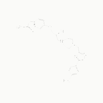 CCCc1nc2cc(OC[C@@H](O)CN3CCN(Cc4noc(-c5ccc(C(F)(F)F)cc5)n4)CC3)ccc2s1